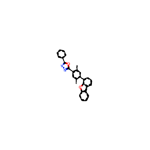 Cc1cc(-c2cccc3c2oc2ccccc23)c(C)cc1-c1nnc(-c2ccccc2)o1